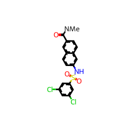 CNC(=O)c1ccc2cc(NS(=O)(=O)c3cc(Cl)cc(Cl)c3)ccc2c1